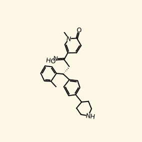 Cc1ccccc1[C@H](C/C(=N\O)c1ccc(=O)n(C)c1)c1ccc(C2CCNCC2)cc1